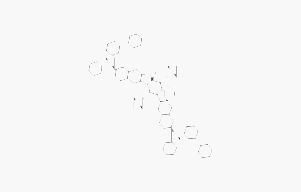 Cc1ccc(-c2ccccc2)cc1N(c1ccccc1)c1ccc2cc3c(cc2c1)oc1c(C#N)c2oc4cc5cc(N(c6ccccc6)c6cc(-c7ccccc7)ccc6C)ccc5cc4c2c(C#N)c13